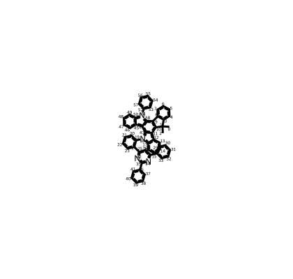 CC1(C)c2ccccc2-c2c1c1c3ccccc3n(-c3ccccc3-c3cc(-c4ccccc4)nc(-c4ccccc4)n3)c1c1c3ccccc3n(-c3ccccc3)c21